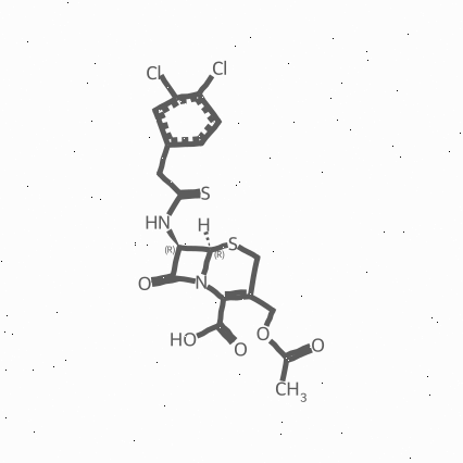 CC(=O)OCC1=C(C(=O)O)N2C(=O)[C@@H](NC(=S)Cc3ccc(Cl)c(Cl)c3)[C@H]2SC1